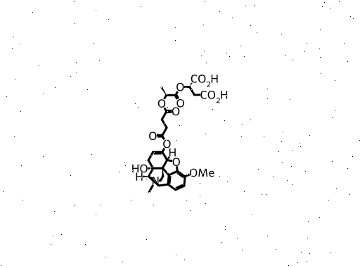 COc1ccc2c3c1O[C@H]1C(OC(=O)CCC(=O)O[C@@H](C)C(=O)O[C@@H](CC(=O)O)C(=O)O)=CC[C@@]4(O)[C@@H](C2)N(C)CC[C@]314